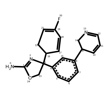 NC1=NC(c2cccc(C3C=CC=NC3)c2)(C2C=CC(F)=CC2)CO1